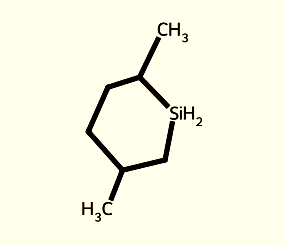 CC1CCC(C)[SiH2]C1